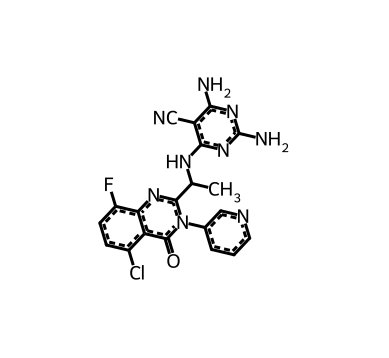 CC(Nc1nc(N)nc(N)c1C#N)c1nc2c(F)ccc(Cl)c2c(=O)n1-c1cccnc1